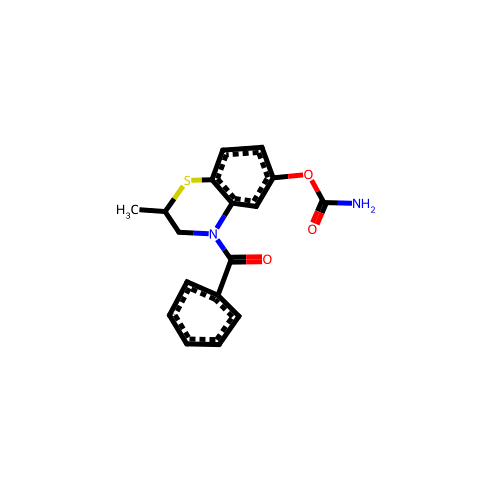 CC1CN(C(=O)c2ccccc2)c2cc(OC(N)=O)ccc2S1